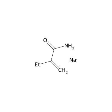 C=C(CC)C(N)=O.[Na]